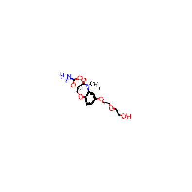 CN1C(=O)[C@@H](OC(N)=O)COc2ccc(OCCOCCO)cc21